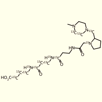 CN1CCN([13CH2]C2CCC[15N]2CC(=O)NCC[13C](=O)[15NH][13CH2][13CH2][13C](=O)[15NH][13CH2][13CH2][13CH2][13C](=O)O)[13CH2][13CH2]1